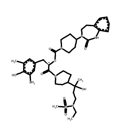 Bc1cc(C[C@@H](OC(=O)N2CCC(N3CCc4ccccc4NC3=O)CC2)C(=O)N2CCC(C(C)(O)CCN(CC)S(C)(=O)=O)CC2)cc(C)c1O